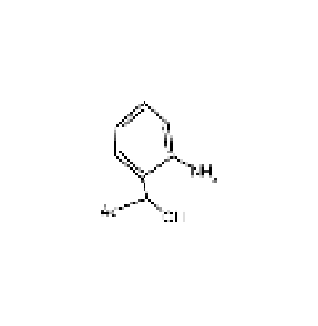 CC(=O)C(O)c1ccccc1N